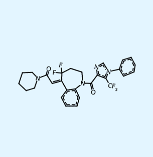 O=C(C=C1c2ccccc2N(C(=O)c2ncn(-c3ccccc3)c2C(F)(F)F)CCC1(F)F)N1CCCCC1